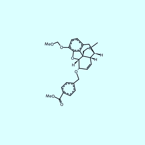 COCOc1ccc2c3c1O[C@H]1[C@@H](OCc4ccc(C(=O)OC)cc4)C=C[C@H]4[C@@H](C2)N(C)CC[C@@]341